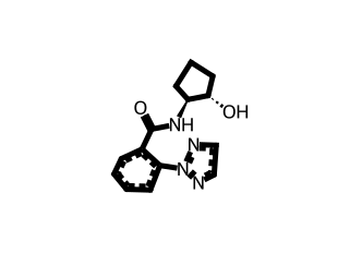 O=C(N[C@H]1CCC[C@@H]1O)c1ccccc1-n1nccn1